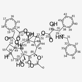 CC(=O)O[C@H]1C(=O)[C@@]2(C)[C@H]([C@H](OC(=O)c3ccccc3)[C@]3(O)C[C@H](OC(=O)[C@H](O)[C@@H](NCc4ccccc4)c4ccccc4)C=C1C3(C)C)[C@]1(OC(C)=O)CC[C@@H]1C[C@@H]2O